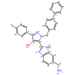 Cc1ccc(-c2nn(Cc3ccc(-c4ccccc4)cc3)c(-c3nc4ccc(CN)cc4[nH]3)c2O)cc1